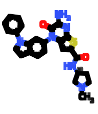 CN1CC[C@@H](NC(=O)c2cc3c(nc(N)c(=O)n3-c3ccc4ccn(-c5ccccc5)c4c3)s2)C1